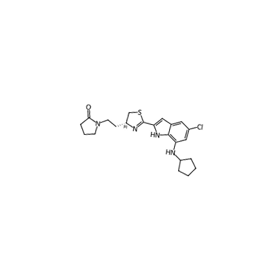 O=C1CCCN1CC[C@@H]1CSC(c2cc3cc(Cl)cc(NC4CCCC4)c3[nH]2)=N1